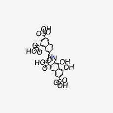 O=S(=O)(O)c1cc(S(=O)(=O)O)c2cc(/N=N/c3c(S(=O)(=O)O)cc4cc(S(=O)(=O)O)cc(O)c4c3O)ccc2c1